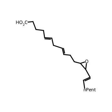 CCCCCC=CC1OC1CCC=CCC=CCCCC(=O)O